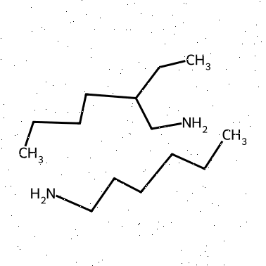 CCCCC(CC)CN.CCCCCCN